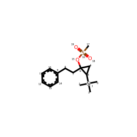 C[Si](C)(C)C1CC1(CCc1ccccc1)OS(C)(=O)=O